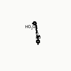 Cc1ccc(-c2nc(COCCCCOCc3cccc(C)c3C(=O)O)c(C)o2)cc1